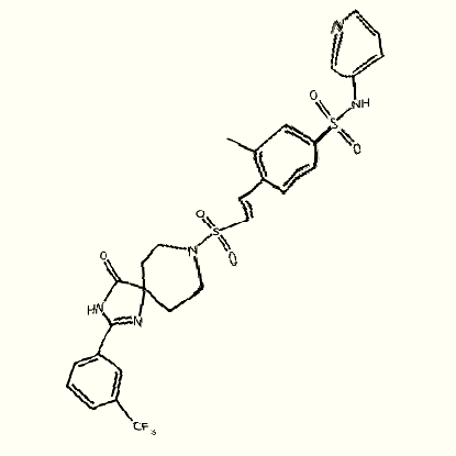 Cc1cc(S(=O)(=O)Nc2cccnc2)ccc1C=CS(=O)(=O)N1CCC2(CC1)N=C(c1cccc(C(F)(F)F)c1)NC2=O